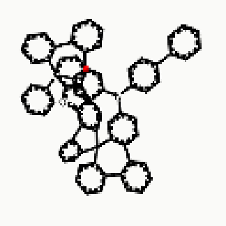 c1ccc(-c2ccc(N(c3ccc4c(c3)-c3ccccc3-c3ccccc3N4c3ccccc3)c3ccc4c(c3)C3(c5ccccc5-c5ccccc5-4)c4ccccc4-c4c3ccc3c4oc4ccccc43)cc2)cc1